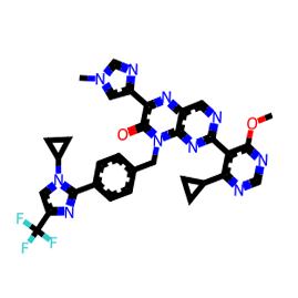 COc1ncnc(C2CC2)c1-c1ncc2nc(-c3cn(C)cn3)c(=O)n(Cc3ccc(-c4nc(C(F)(F)F)cn4C4CC4)cc3)c2n1